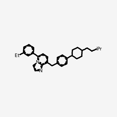 CCc1cccc(-c2ccc(Cc3ccc(C4CCC(CCC(C)C)CC4)cc3)c3nccn23)c1